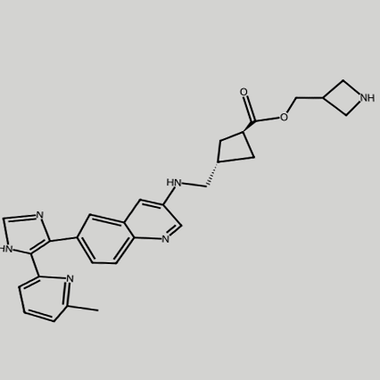 Cc1cccc(-c2[nH]cnc2-c2ccc3ncc(NC[C@H]4C[C@H](C(=O)OCC5CNC5)C4)cc3c2)n1